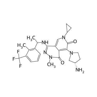 Cc1c(C(C)Nc2nn(C)c(=O)c3c(N4CC[C@H](N)C4)c(=O)n(C4CC4)cc23)cccc1C(F)(F)F